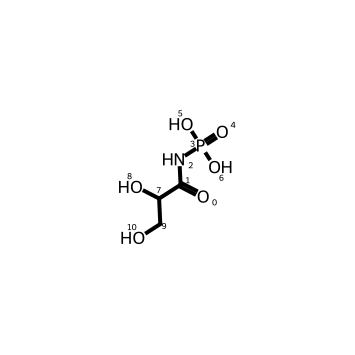 O=C(NP(=O)(O)O)C(O)CO